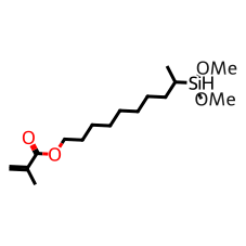 C=C(C)C(=O)OCCCCCCCCC(C)[SiH](OC)OC